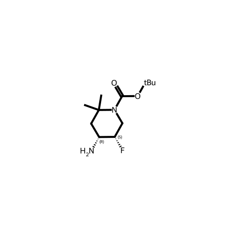 CC(C)(C)OC(=O)N1C[C@H](F)[C@H](N)CC1(C)C